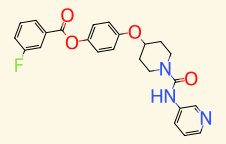 O=C(Oc1ccc(OC2CCN(C(=O)Nc3cccnc3)CC2)cc1)c1cccc(F)c1